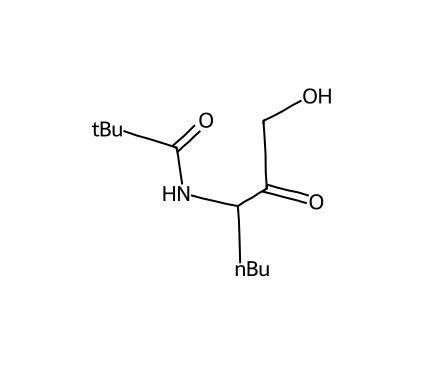 CCCCC(NC(=O)C(C)(C)C)C(=O)CO